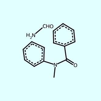 CN(C(=O)c1ccccc1)c1ccccc1.NC=O